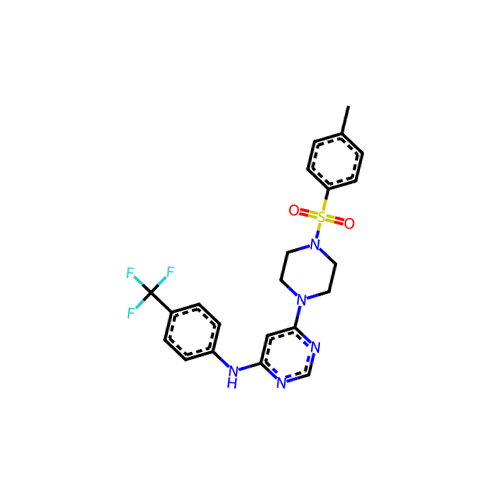 Cc1ccc(S(=O)(=O)N2CCN(c3cc(Nc4ccc(C(F)(F)F)cc4)ncn3)CC2)cc1